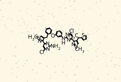 CC(c1cccs1)c1cn(C)nc1-c1cc(Cl)nc(Nc2cccc(Oc3ccccc3Cc3cn(C)nc3-c3cc(Cl)nc(N)n3)c2)n1